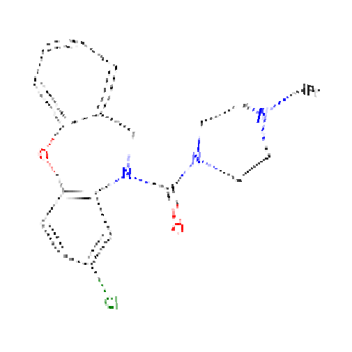 CC(C)N1CCN(C(=O)N2Cc3ccccc3Oc3ccc(Cl)cc32)CC1